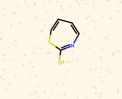 SC1=NC=CC=CS1